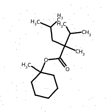 CC(C)CC(C)(C(=O)OC1(C)CCCCC1)C(C)C